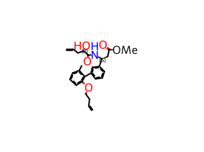 C=CCCOc1cccc(C)c1-c1cccc([C@H](CC(=O)OC)NC(=O)[C@H](O)CC=C)c1